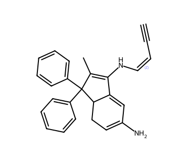 C#C/C=C\NC1=C(C)C(c2ccccc2)(c2ccccc2)C2CC=C(N)C=C12